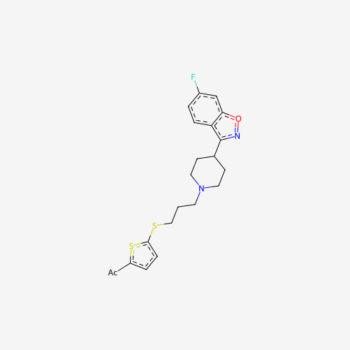 CC(=O)c1ccc(SCCCN2CCC(c3noc4cc(F)ccc34)CC2)s1